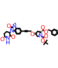 Cn1c(=O)n(C2CCC(=O)NC2=O)c2ccc(C#CCO[C@@H]3C[C@H](C(=O)OCc4ccccc4)N(C(=O)OC(C)(C)C)C3)cc21